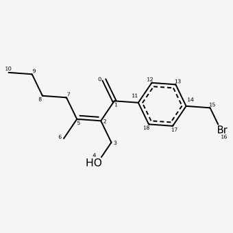 C=C(/C(CO)=C(/C)CCCC)c1ccc(CBr)cc1